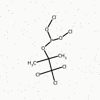 CC(C)(OP(OCl)OCl)C(Cl)(Cl)Cl